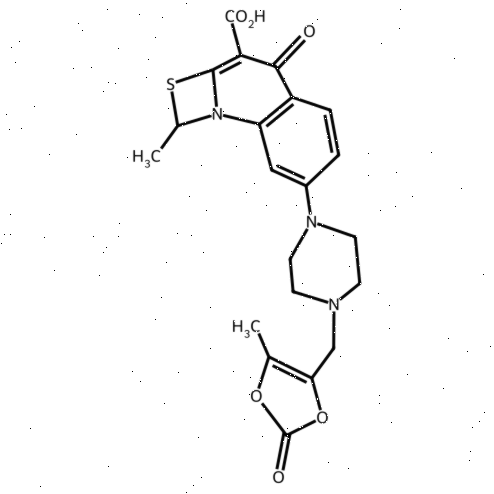 Cc1oc(=O)oc1CN1CCN(c2ccc3c(=O)c(C(=O)O)c4n(c3c2)C(C)S4)CC1